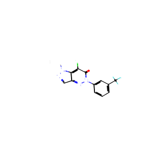 Cn1ncc2nn(-c3cccc(C(F)(F)F)c3)c(=O)c(Cl)c21